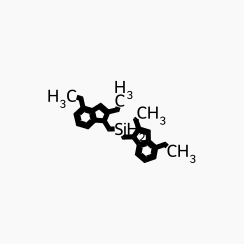 CCC1=Cc2c(CC)cccc2C1C[SiH2]CC1C(CC)=Cc2c(CC)cccc21